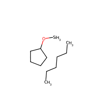 CCCCCC.[SiH3]OC1CCCC1